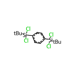 CC(C)(C)[Si](Cl)(Cl)c1ccc([Si](Cl)(Cl)C(C)(C)C)cc1